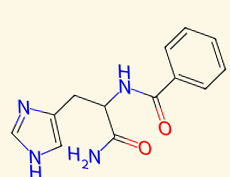 NC(=O)C(Cc1c[nH]cn1)NC(=O)c1ccccc1